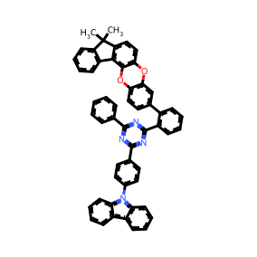 CC1(C)c2ccccc2-c2c1ccc1c2Oc2ccc(-c3ccccc3-c3nc(-c4ccccc4)nc(-c4ccc(-n5c6ccccc6c6ccccc65)cc4)n3)cc2O1